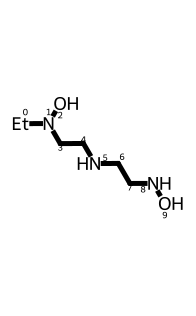 CCN(O)CCNCCNO